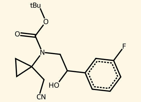 CC(C)(C)OC(=O)N(CC(O)c1cccc(F)c1)C1(CC#N)CC1